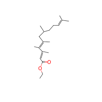 CCOC(=O)/C=C(C)/C(C)=C(\C)CC(C)CCC=C(C)C